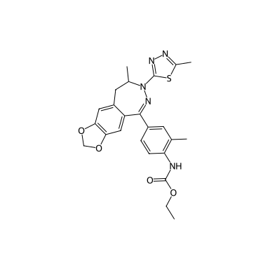 CCOC(=O)Nc1ccc(C2=NN(c3nnc(C)s3)C(C)Cc3cc4c(cc32)OCO4)cc1C